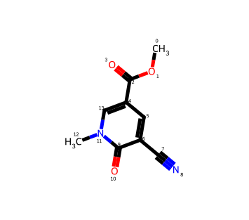 COC(=O)c1cc(C#N)c(=O)n(C)c1